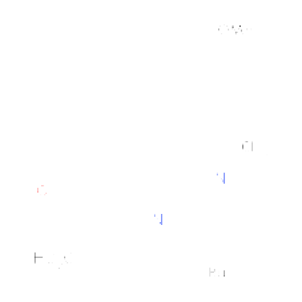 COC1=CC=C/C(=C2\c3cc(=O)c(C(=O)O)cn3C(C(C)(C)C)CN2C)C1